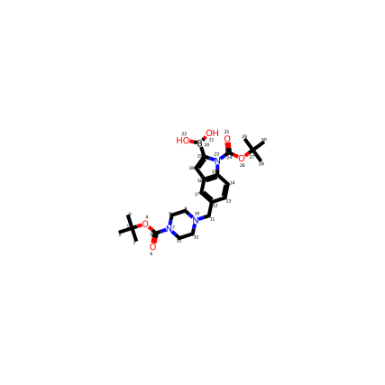 CC(C)(C)OC(=O)N1CCN(Cc2ccc3c(c2)cc(B(O)O)n3C(=O)OC(C)(C)C)CC1